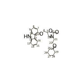 O=C1OC(COc2cccc3[nH]c4ccccc4c23)CN1CCOC1CCCCC1